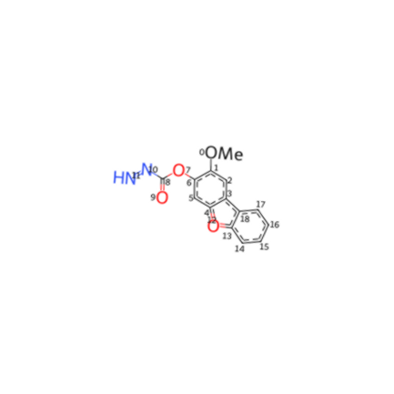 COc1cc2c(cc1OC(=O)N=N)oc1ccccc12